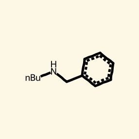 [CH]CCCNCc1ccccc1